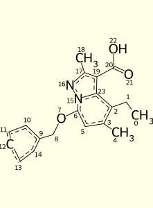 CCc1c(C)cc(OCc2ccccc2)n2nc(C)c(C(=O)O)c12